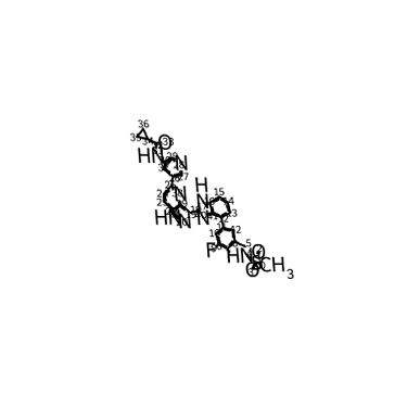 CS(=O)(=O)NCc1cc(F)cc(-c2cccc3[nH]c(-c4n[nH]c5ccc(-c6cncc(NC(=O)C7CC7)c6)nc45)nc23)c1